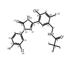 CC(C)(C)C(=O)NCc1cc(-c2nn(-c3ccc(F)c(Cl)c3)c(=O)[nH]2)c(Cl)cc1F